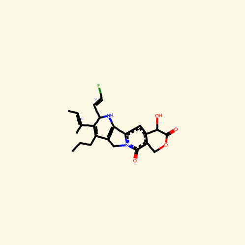 C/C=C(\C)C1=C(CCC)C2=C(NC1/C=C/F)c1cc3c(c(=O)n1C2)COC(=O)C3O